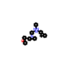 CC1(C)c2ccccc2-c2ccc(-c3nc(-c4ccccc4)nc(-c4cccc(-n5c6ccccc6c6ccc(-c7cccc8oc9ccccc9c78)cc65)c4)n3)cc21